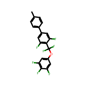 Cc1ccc(-c2cc(F)c(C(F)(F)Oc3cc(F)c(F)c(F)c3)c(F)c2)cc1